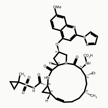 CC[C@@H]1C[C@H](C)CCC=C[C@@H]2C[C@@]2(C(=O)NS(=O)(=O)C2(C)CC2)NC(=O)[C@@H]2C[C@@H](Oc3cc(-n4cccn4)nc4cc(OC)ccc34)CN2C(=O)[C@H]1NC(=O)O